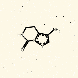 Nc1cnn2c1CCNC2=O